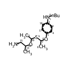 CCCCNc1ccc(OC(C)SC(C)OC(C)CN)cc1